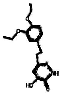 CCOc1ccc(CCc2cc(O)c(=O)[nH]n2)cc1OCC